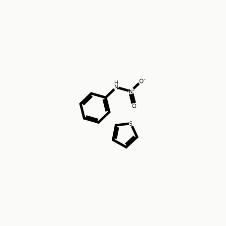 O=[N+]([O-])Nc1ccccc1.c1ccsc1